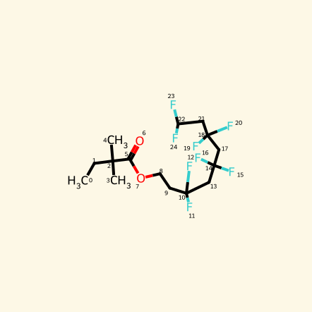 CCC(C)(C)C(=O)OCCC(F)(F)CC(F)(F)CC(F)(F)CC(F)F